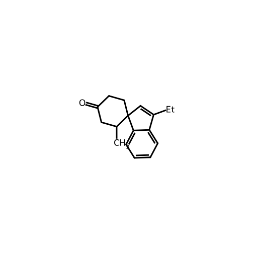 CCC1=CC2(CCC(=O)CC2C)c2ccccc21